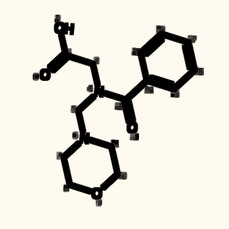 O=C(O)CN(CN1CCOCC1)C(=O)c1ccccc1